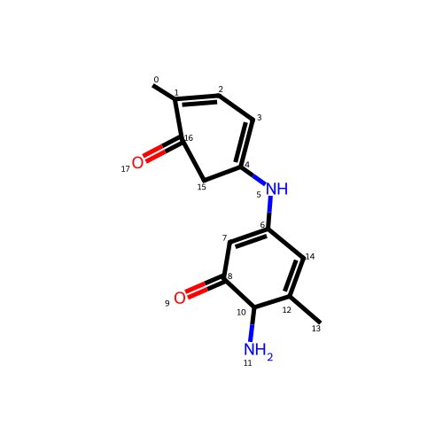 CC1=CC=C(NC2=CC(=O)C(N)C(C)=C2)CC1=O